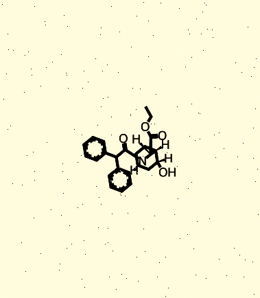 CCOC(=O)[C@@H]1[C@@H]2CC[C@@H](C[C@H]2O)N1C(=O)C(c1ccccc1)c1ccccc1